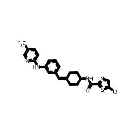 O=C(NC1CCC(=Cc2cccc(Nc3ccc(C(F)(F)F)cn3)c2)CC1)c1ncc(Cl)s1